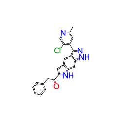 Cc1cc(-c2n[nH]c3cc4[nH]c(C(=O)Cc5ccccc5)cc4cc23)c(Cl)cn1